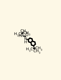 CC(C)(C)NC(=O)Nc1ccc2ccc(C(C)(C)C)cc2c1